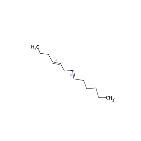 [CH2]CCCC/C=C/C/C=C/CCC